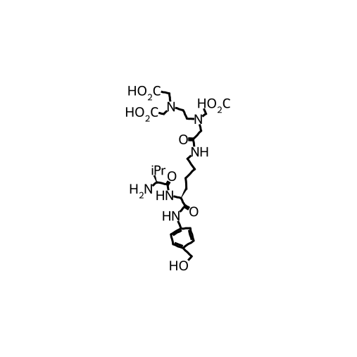 CC(C)[C@H](N)C(=O)N[C@@H](CCCCNC(=O)CN(CCN(CC(=O)O)CC(=O)O)CC(=O)O)C(=O)Nc1ccc(CO)cc1